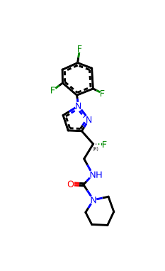 O=C(NC[C@@H](F)c1ccn(-c2c(F)cc(F)cc2F)n1)N1CCCCC1